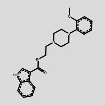 COc1ccccc1N1CCN(CCNC(=O)c2c[nH]c3ccccc23)CC1